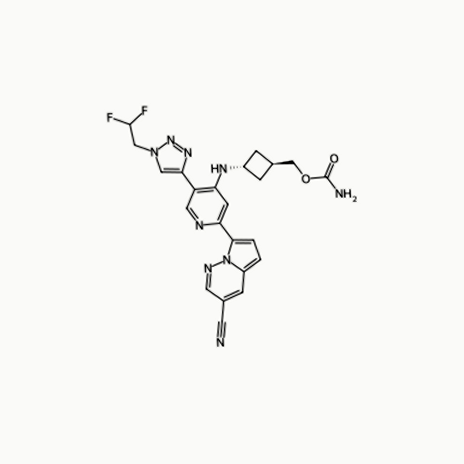 N#Cc1cnn2c(-c3cc(N[C@H]4C[C@H](COC(N)=O)C4)c(-c4cn(CC(F)F)nn4)cn3)ccc2c1